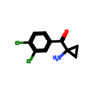 NC1(C(=O)c2ccc(Cl)c(Cl)c2)CC1